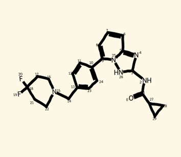 O=C(NC1N=C2C=CC=C(c3ccc(CN4CCC(F)(F)CC4)cc3)N2N1)C1CC1